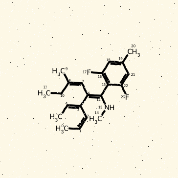 C\C=C/C(=C\C)C(/C=C(/C)CC)=C(\NC)c1c(F)cc(C)cc1F